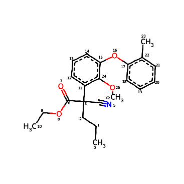 CCCC(C#N)(C(=O)OCC)c1cccc(Oc2ccccc2C)c1OC